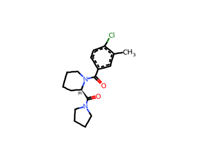 Cc1cc(C(=O)N2CCCC[C@@H]2C(=O)N2CCCC2)ccc1Cl